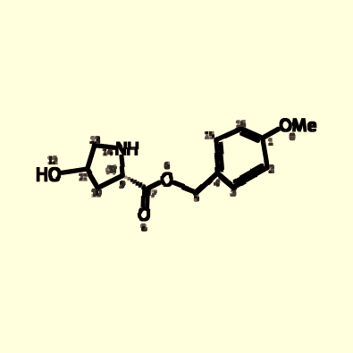 COc1ccc(COC(=O)[C@@H]2CC(O)CN2)cc1